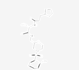 CCCC[C@H](NC(=O)CCC1CCCC1)C(=O)NCC1CN(S(=O)(=O)c2ccccc2C#N)CCO1